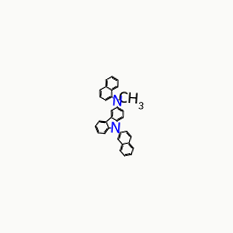 CN(c1ccc2c(c1)c1ccccc1n2-c1ccc2ccccc2c1)c1cccc2ccccc12